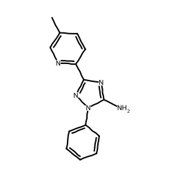 Cc1ccc(-c2nc(N)n(-c3ccccc3)n2)nc1